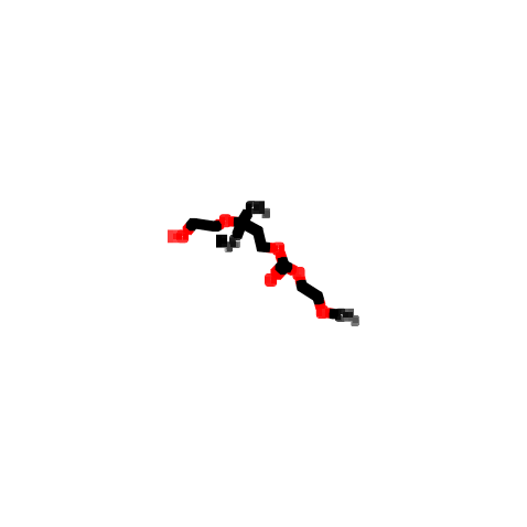 COCCOC(=O)OCCC(C)(C)OCCO